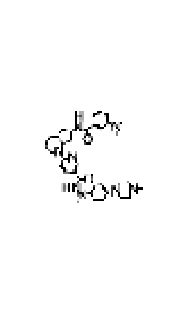 Cc1c(C(=O)NC2CC3CCCN(c4ccc(C(=O)N[C@@H](C)c5ccc(N6CCN(C)CC6)cc5)cn4)C3C2)cccc1N(C)C